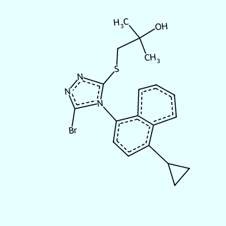 CC(C)(O)CSc1nnc(Br)n1-c1ccc(C2CC2)c2ccccc12